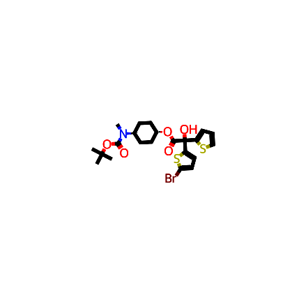 CN(C(=O)OC(C)(C)C)[C@H]1CC[C@H](OC(=O)C(O)(c2cccs2)c2ccc(Br)s2)CC1